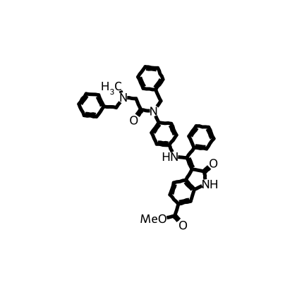 COC(=O)c1ccc2c(c1)NC(=O)C2=C(Nc1ccc(N(Cc2ccccc2)C(=O)CN(C)Cc2ccccc2)cc1)c1ccccc1